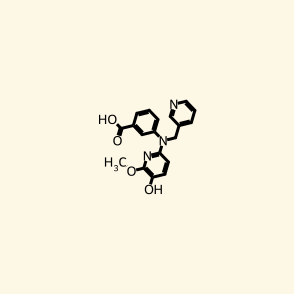 COc1nc(N(Cc2cccnc2)c2cccc(C(=O)O)c2)ccc1O